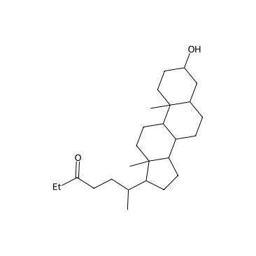 CCC(=O)CCC(C)C1CCC2C3CCC4CC(O)CCC4(C)C3CCC12C